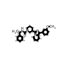 COc1cccc(-c2nc(C3CCCN(C(=O)N[C@@H](C)c4ccccc4)C3)n3ccccc23)c1